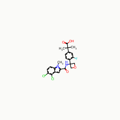 Cn1c(C(=O)NC2(c3ccc(C(C)(C)C(=O)O)cc3F)COC2)cc2c(Cl)c(Cl)ccc21